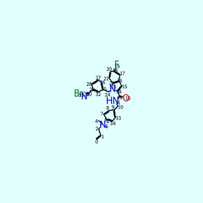 C=CC[N+](C)(C)c1ccc(CNC(=O)c2cc3cc(F)ccc3n2Cc2cccc(C#N)c2)cc1.[Br-]